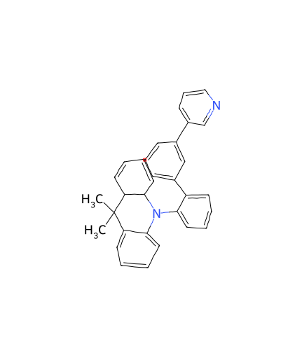 CC1(C)c2ccccc2N(c2ccccc2-c2cccc(-c3cccnc3)c2)C2C=CC=CC21